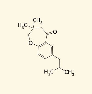 CC(C)Cc1ccc2c(c1)C(=O)CC(C)(C)CO2